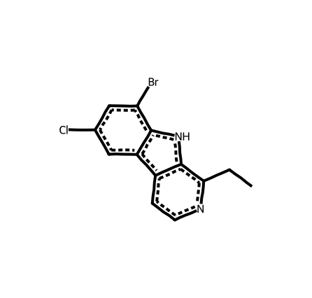 CCc1nccc2c1[nH]c1c(Br)cc(Cl)cc12